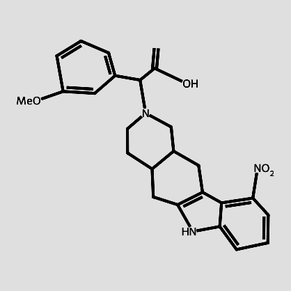 C=C(O)C(c1cccc(OC)c1)N1CCC2Cc3[nH]c4cccc([N+](=O)[O-])c4c3CC2C1